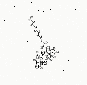 CCCCCCCCCCCCCC(=O)[N+]1(CCCN(C)C)CCCCC1CCONC=O